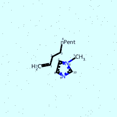 C=CCCCCCCC.Cn1ccnc1